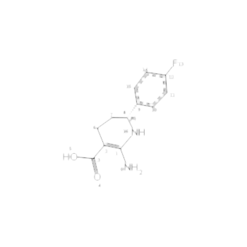 NC1=C(C(=O)O)CC[C@H](c2ccc(F)cc2)N1